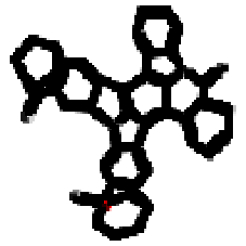 O=C1c2cc3c(cc2C2CCC1CC2)c1c2c4ccccc4c(=O)n4c5ccccc5c(c5c6cc7c(cc6n3c15)C(=O)C1CCC7CC1)c24